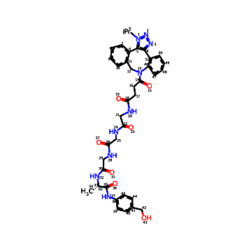 CC(C)n1nnc2c1-c1ccccc1CN(C(=O)CCC(=O)NCC(=O)NCC(=O)NCC(=O)N[C@@H](C)C(=O)Nc1ccc(CO)cc1)c1ccccc1-2